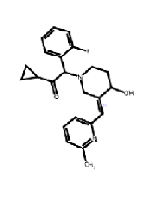 Cc1cccc(/C=C2\CN(C(C(=O)C3CC3)c3ccccc3F)CCC2O)n1